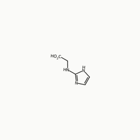 O=C(O)CNc1ncc[nH]1